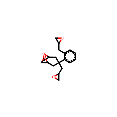 c1ccc(C(CC2CO2)(CC2CO2)CC2CO2)c(CC2CO2)c1